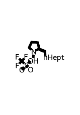 CCCCCCCC=C1CCCN1C.O=S(=O)(O)C(F)(F)F